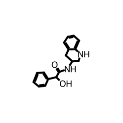 O=C(NC1CNc2ccccc2C1)C(O)c1ccccc1